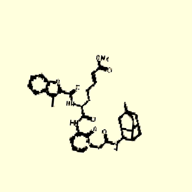 COC(=O)/C=C/CC[C@H](NC(=O)c1oc2ccccc2c1C)C(=O)Nc1cccn(CC(=O)NC2C3CC4CC2CC(C)(C4)C3)c1=O